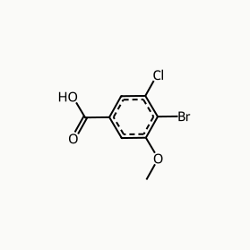 COc1cc(C(=O)O)cc(Cl)c1Br